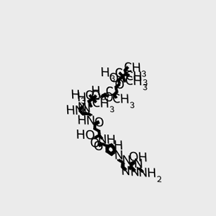 CCC(C)C(C)(CC)C(=O)OCCC(C)(C)OCCOC(C)(C)CCN1NNC=C1CNC(=O)CCC(NC(=O)c1ccc(NCc2cnc3nc(N)nc(O)c3n2)cc1)C(=O)O